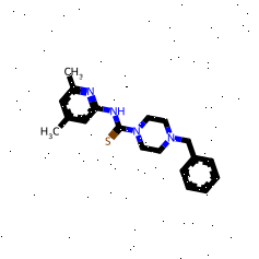 Cc1cc(C)nc(NC(=S)N2CCN(Cc3ccccc3)CC2)c1